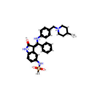 CCS(=O)(=O)Nc1ccc2c(c1)/C(=C(/Nc1ccc(CN3CCC(C)CC3)cc1)c1ccccc1)C(=O)N2